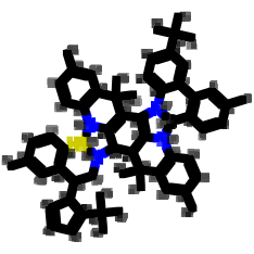 Cc1ccc2c(c1)-c1cc(C(C)(C)C)ccc1N1B2N2C3=C1C1=C4C(C3C(C)(C)c3cc(C)ccc32)N2CC(C3C#CC=C3C(C)(C)C)c3cc(C)ccc3[SH]2N4c2ccc(C)cc2C1(C)C